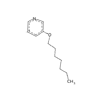 CCCCCCCOc1c[c]cnc1